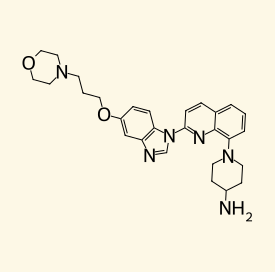 NC1CCN(c2cccc3ccc(-n4cnc5cc(OCCCN6CCOCC6)ccc54)nc23)CC1